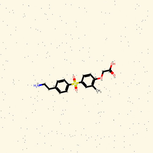 Cc1cc(S(=O)(=O)c2ccc(CCN)cc2)ccc1OCC(=O)O